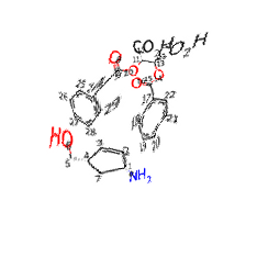 N[C@H]1C=C[C@@H](CO)C1.O=C(O[C@H](C(=O)O)[C@H](OC(=O)c1ccccc1)C(=O)O)c1ccccc1